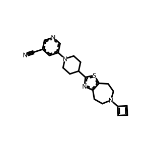 N#Cc1cncc(N2CCC(c3nc4c(s3)CCN(C3=CC=C3)CC4)CC2)c1